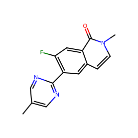 Cc1cnc(-c2cc3ccn(C)c(=O)c3cc2F)nc1